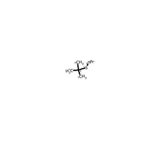 CC[CH]SC(C)(C)C